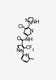 Cc1cccc(-n2ncc(C(=O)Nc3cnc(N4N=CCN4)c(Cl)c3)c2C(F)(F)F)n1